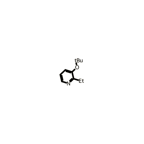 CCc1ncccc1OC(C)(C)C